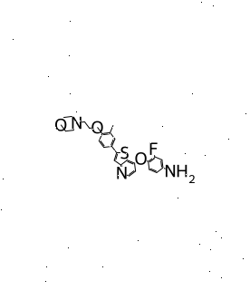 Cc1cc(-c2cc3nccc(Oc4ccc(N)cc4F)c3s2)ccc1OCCN1CCOCC1